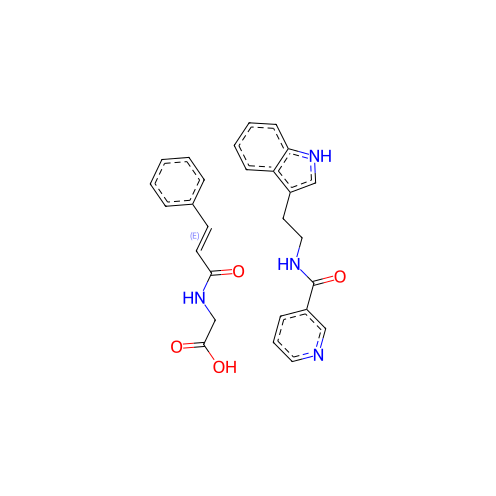 O=C(NCCc1c[nH]c2ccccc12)c1cccnc1.O=C(O)CNC(=O)/C=C/c1ccccc1